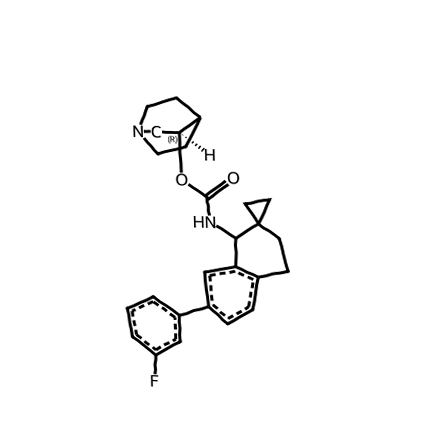 O=C(NC1c2cc(-c3cccc(F)c3)ccc2CCC12CC2)O[C@H]1CN2CCC1CC2